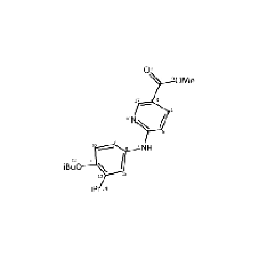 COC(=O)c1ccc(Nc2ccc(OCC(C)C)c(C(C)C)c2)nc1